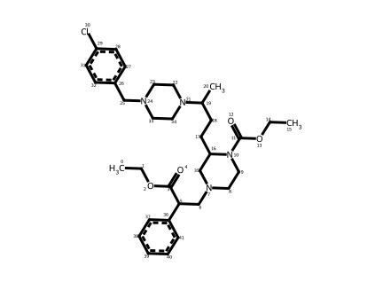 CCOC(=O)C(CN1CCN(C(=O)OCC)C(CCC(C)N2CCN(Cc3ccc(Cl)cc3)CC2)C1)c1ccccc1